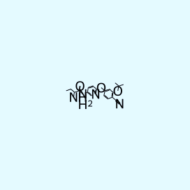 CCC(N)C(=O)Nc1ccc(Oc2ccc(C#N)c(OC(C)C)c2)nc1